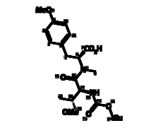 COc1ccc(C[C@@H](C(=O)O)N(C)C(=O)[C@@H](NC(=O)OC(C)(C)C)[C@@H](C)OC)cc1